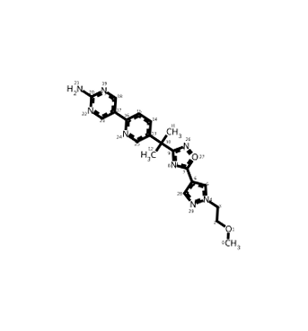 COCCn1cc(-c2nc(C(C)(C)c3ccc(-c4cnc(N)nc4)nc3)no2)cn1